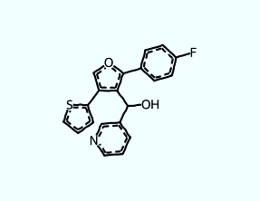 OC(c1cccnc1)c1c(-c2cccs2)coc1-c1ccc(F)cc1